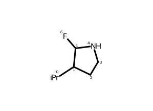 CC(C)C1CCNC1F